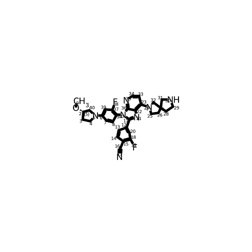 CO[C@H]1CCN(c2ccc(-n3c(-c4ccc(C#N)c(F)c4)nc4c(N5CCC6(CCNC6)C5)ccnc43)c(F)c2)C1